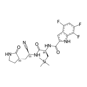 C[Si](C)(C)C[C@H](NC(=O)c1cc2c(F)cc(F)c(F)c2[nH]1)C(=O)N[C@H](C#N)C[C@@H]1CCNC1=O